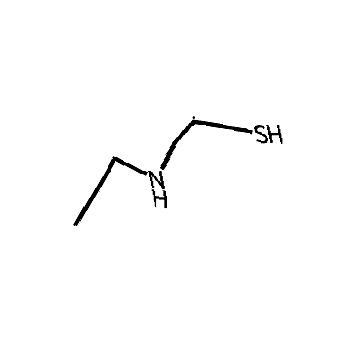 CCN[CH]S